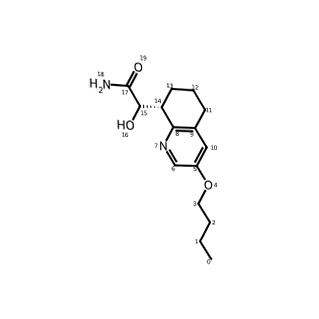 CCCCOc1cnc2c(c1)CCC[C@H]2C(O)C(N)=O